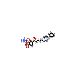 CNS(=O)(=O)c1cc(C(=O)CCCCCN2CCN(c3ccccc3)CC2)ccc1OC